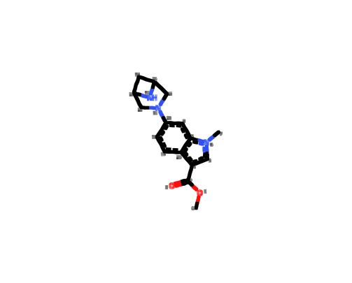 COC(=O)c1cn(C)c2cc(N3CC4CC(C3)N4)ccc12